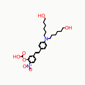 O=C(O)Oc1cc(C=Cc2ccc(N(CCCCCCO)CCCCCCO)cc2)ccc1[N+](=O)[O-]